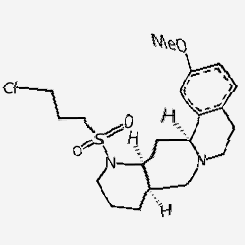 COc1ccc2c(c1)[C@@H]1C[C@H]3[C@H](CCCN3S(=O)(=O)CCCCl)CN1CC2